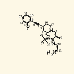 C=C(CN1CCC(C#Cc2ccccc2F)CC1)/C(=N\C=C/N)OC(C)(C)C